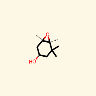 CC1(C)C[C@@H](O)C[C@@]2(C)O[C@@]12C